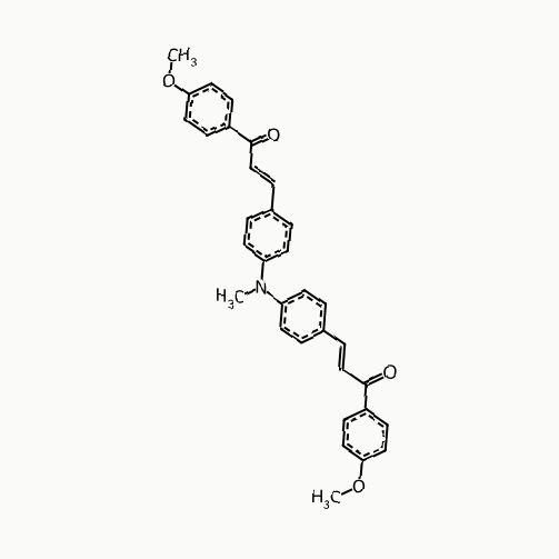 COc1ccc(C(=O)C=Cc2ccc(N(C)c3ccc(C=CC(=O)c4ccc(OC)cc4)cc3)cc2)cc1